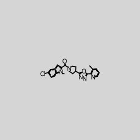 Cc1cccnc1-c1nnc(C2CCN(C(=O)c3cc4cc(Cl)ccc4n3C)CC2)o1